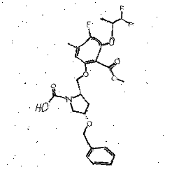 COC(=O)c1c(OC[C@H]2C[C@H](OCc3ccccc3)CN2C(=O)O)cc(C)c(F)c1OC(C)C(F)F